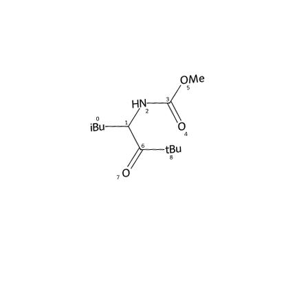 CCC(C)C(NC(=O)OC)C(=O)C(C)(C)C